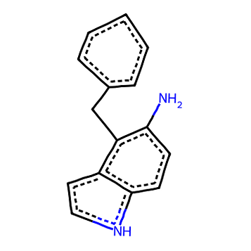 Nc1ccc2[nH]ccc2c1Cc1ccccc1